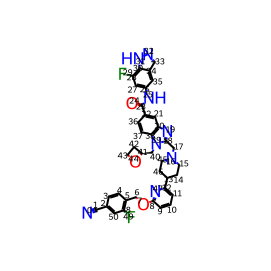 N#Cc1ccc(COc2cccc(C3CCN(Cc4nc5cc(C(=O)Nc6cc(F)c7[nH]ncc7c6)ccc5n4C[C@@H]4CCO4)CC3)n2)c(F)c1